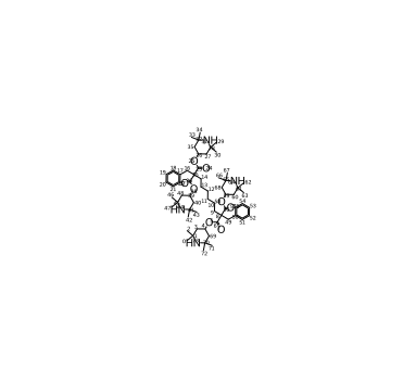 CC1(C)CC(OC(=O)C(CCCCCCC(Cc2ccccc2)(C(=O)OC2CC(C)(C)NC(C)(C)C2)C(=O)OC2CC(C)(C)NC(C)(C)C2)(Cc2ccccc2)C(=O)OC2CC(C)(C)NC(C)(C)C2)CC(C)(C)N1